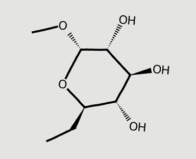 CC[C@H]1O[C@H](OC)[C@H](O)[C@@H](O)[C@@H]1O